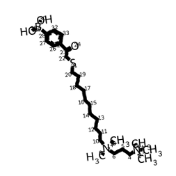 C[N+](C)(C)CCC[N+](C)(C)CCCCCCCCCCCSCC(=O)c1ccc(B(O)O)cc1